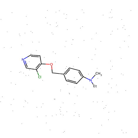 CCN(C)c1ccc(COc2c[c]ncc2Cl)cc1